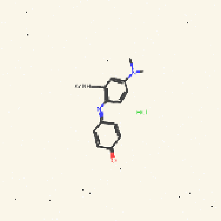 CC(=O)Nc1cc(N(C)C)ccc1N=C1C=CC(=O)C=C1.Cl